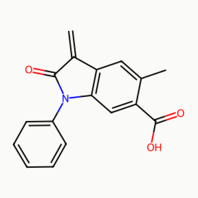 C=C1C(=O)N(c2ccccc2)c2cc(C(=O)O)c(C)cc21